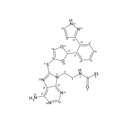 CCC(=O)NCCn1c(SC2=COC(c3ccccc3-c3cc[nH]n3)O2)nc2c(N)ncnc21